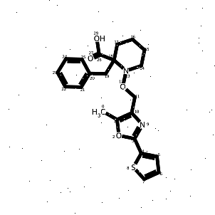 Cc1oc(-c2cccs2)nc1CON1CCCCC1(Cc1ccccc1)C(=O)O